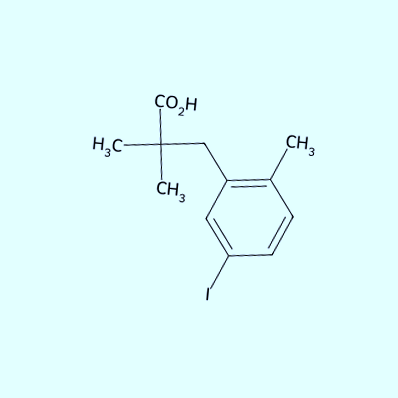 Cc1ccc(I)cc1CC(C)(C)C(=O)O